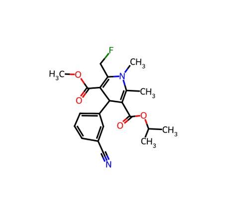 COC(=O)C1=C(CF)N(C)C(C)=C(C(=O)OC(C)C)C1c1cccc(C#N)c1